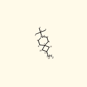 CC(C)(C)N1CCC2(CC1)CC(N)C2